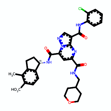 Cc1c(C(=O)O)ccc2c1CC[C@@H]2NC(=O)c1cc(C(=O)NCC2CCOCC2)nc2c(C(=O)Nc3ccccc3Cl)cnn12